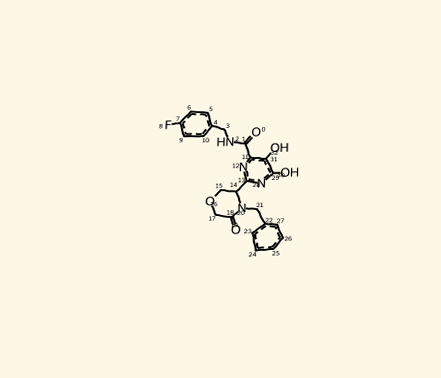 O=C(NCc1ccc(F)cc1)c1nc(C2COCC(=O)N2Cc2ccccc2)nc(O)c1O